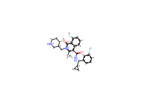 Cc1c(C(=O)N[C@H](c2cccc(F)c2)C2CC2)c2cccc(F)c2c(=O)n1CC1CCCNC1